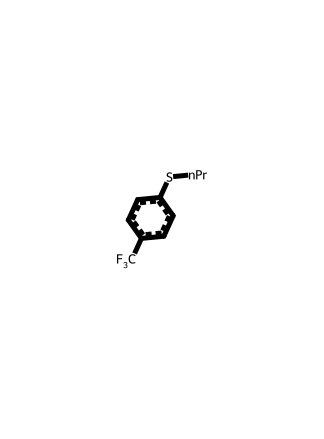 CCCSc1ccc(C(F)(F)F)cc1